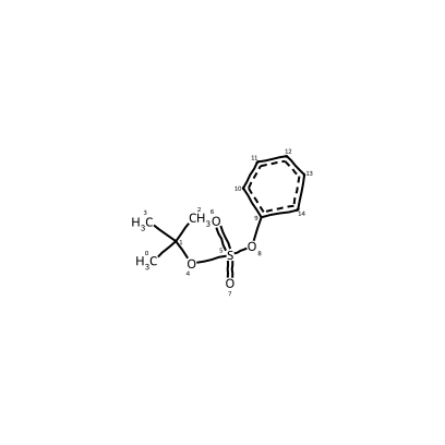 CC(C)(C)OS(=O)(=O)Oc1ccccc1